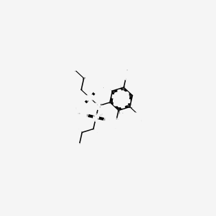 CCCS(=O)(=O)N(c1cc(Cl)cc(Br)c1Cl)S(=O)(=O)CCC